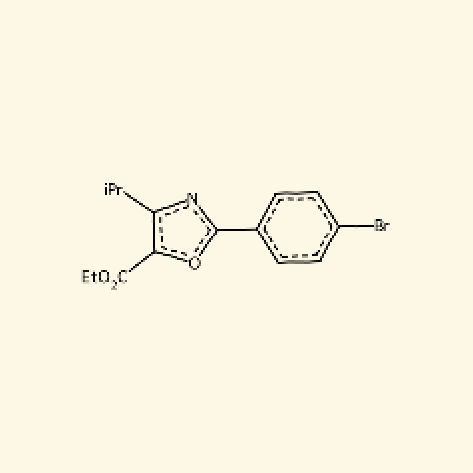 CCOC(=O)c1oc(-c2ccc(Br)cc2)nc1C(C)C